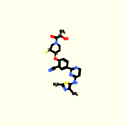 Cc1nc(C)c(Nc2ccnc(-c3ccc(O[C@H]4CCN(C(=O)[C@H](C)O)C[C@H]4F)c(C#N)c3)n2)s1